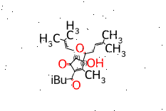 CCC(C)C(=O)C1=C(C)[C@](O)(C(=O)CC=C(C)C)[C@@H](CC=C(C)C)C1=O